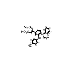 COC[C@H](CC(=O)O)c1ccc(N2CCOc3ccccc32)c(Nc2ccc(C#N)cc2)c1